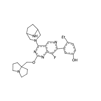 CCc1ccc(O)cc1-c1ncc2c(N3CC4CCC(C3)N4)nc(OCC34CCCN3CCC4)nc2c1F